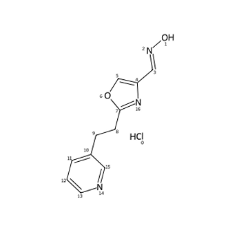 Cl.O/N=C/c1coc(CCc2cccnc2)n1